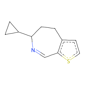 C1=NC(C2CC2)CCc2ccsc21